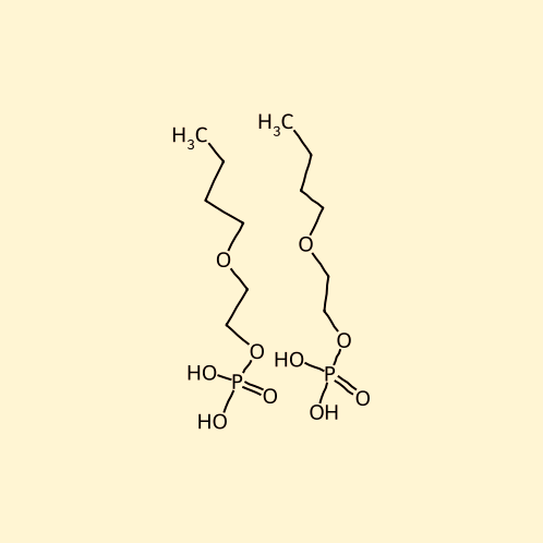 CCCCOCCOP(=O)(O)O.CCCCOCCOP(=O)(O)O